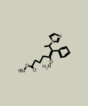 CC(/C(=C(\CCCC(=O)OC(C)(C)C)ON)c1ccccc1)n1ccnc1